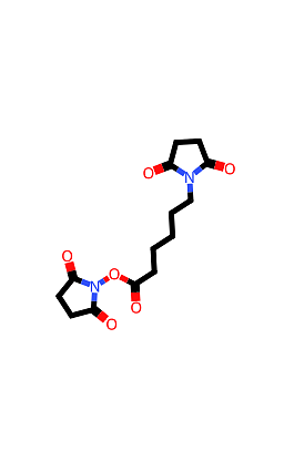 O=C(CCCCCN1C(=O)CCC1=O)ON1C(=O)CCC1=O